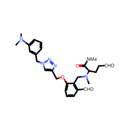 CNC(=O)C(CCC=O)N(C)Cc1c(C=O)cccc1OCc1cn(Cc2cccc(N(C)C)c2)nn1